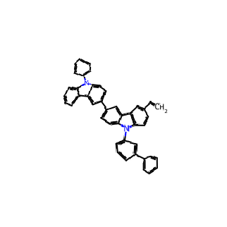 C=Cc1ccc2c(c1)c1cc(-c3ccc4c(c3)c3ccccc3n4-c3ccccc3)ccc1n2-c1cccc(-c2ccccc2)c1